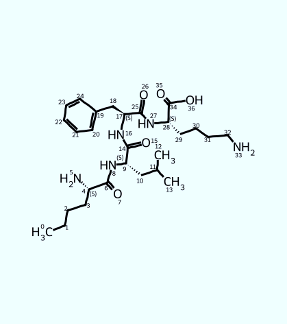 CCCC[C@H](N)C(=O)N[C@@H](CC(C)C)C(=O)N[C@@H](Cc1ccccc1)C(=O)N[C@@H](CCCCN)C(=O)O